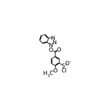 COc1ccc(C(=O)On2nnc3ccccc32)cc1[S+]([O-])Cl